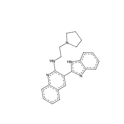 c1ccc2nc(NCCN3CCCC3)c(-c3nc4ccccc4[nH]3)cc2c1